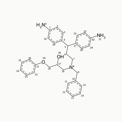 Nc1ccc(C(CCN(Cc2ccccc2)CC(O)COc2ccccc2)c2ccc(N)cc2)cc1